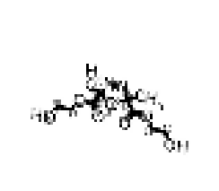 CC(C)(/N=N\C(C)(C)C(=O)OCCO)C(=O)OCCO